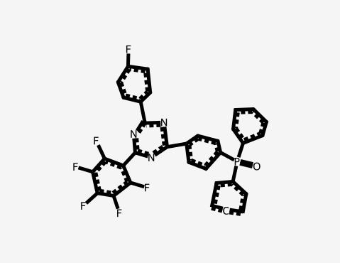 O=P(c1ccccc1)(c1ccccc1)c1ccc(-c2nc(-c3ccc(F)cc3)nc(-c3c(F)c(F)c(F)c(F)c3F)n2)cc1